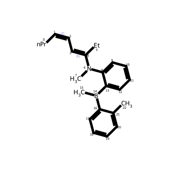 CCC/C=C\C=C(/CC)N(C)c1ccccc1B(C)c1ccccc1C